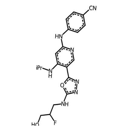 CC(C)Nc1cc(Nc2ccc(C#N)cc2)ncc1-c1nnc(NCC(F)CO)o1